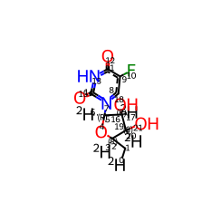 [2H]C[C@@]1([2H])O[C@@]([2H])(n2cc(F)c(=O)[nH]c2=O)[C@]([2H])(O)[C@]1([2H])O